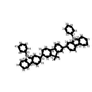 CC1(C)c2cc(-c3ccc4c5ccccc5n(-c5ccccc5)c4c3)ccc2-c2ccc(-c3ccc4c5ccccc5n(-c5ccccc5)c4c3)cc21